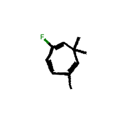 CC1=CC(C)(C)C=C(F)C=C1